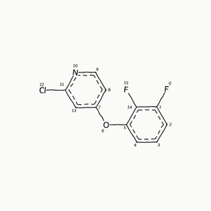 Fc1cccc(Oc2[c]cnc(Cl)c2)c1F